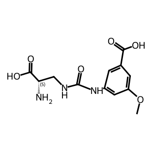 COc1cc(NC(=O)NC[C@H](N)C(=O)O)cc(C(=O)O)c1